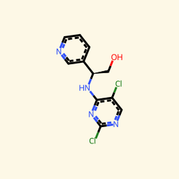 OC[C@@H](Nc1nc(Cl)ncc1Cl)c1cccnc1